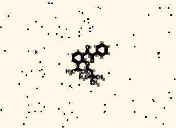 CC(C)c1cccc(C(=O)C(=O)c2ccccc2)c1OCC[N+](C)(C)C